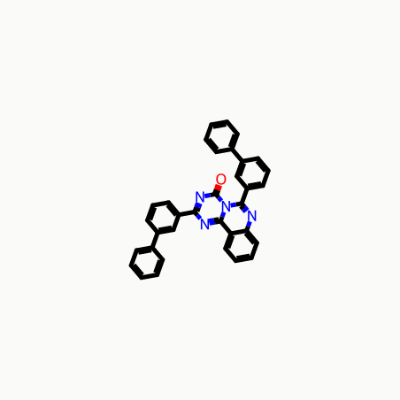 O=c1nc(-c2cccc(-c3ccccc3)c2)nc2c3ccccc3nc(-c3cccc(-c4ccccc4)c3)n12